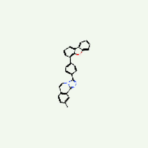 Cc1ccc2ccn3c(-c4ccc(-c5cccc6c5oc5ccccc56)cc4)nnc3c2c1